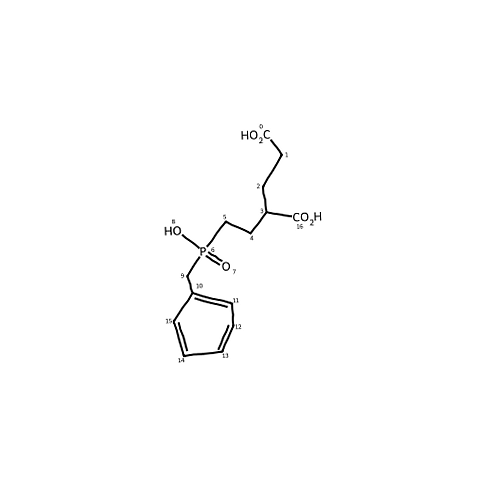 O=C(O)CCC(CCP(=O)(O)Cc1ccccc1)C(=O)O